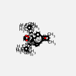 C=C1c2cc3ccc2N2c4nc5c(nc4N(c4ccccc4)C2C1(CC)C1(CC)Cc2cc(ccc2N2c4nc6c(nc4N(c4ccccc4)C21)C(C)(C)C(C)(C)C6(C)C)-c1cccc-3c1-c1cc(C)cc(C)c1)C(C)(C)C(C)(C)C5(C)C